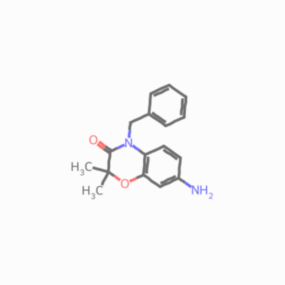 CC1(C)Oc2cc(N)ccc2N(Cc2ccccc2)C1=O